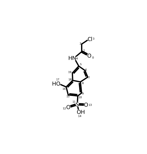 O=C(CCl)Nc1ccc2cc(S(=O)(=O)O)cc(O)c2c1